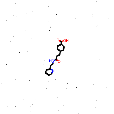 O=C(C=Cc1ccc(C(=O)O)cc1)NCCc1ccccn1